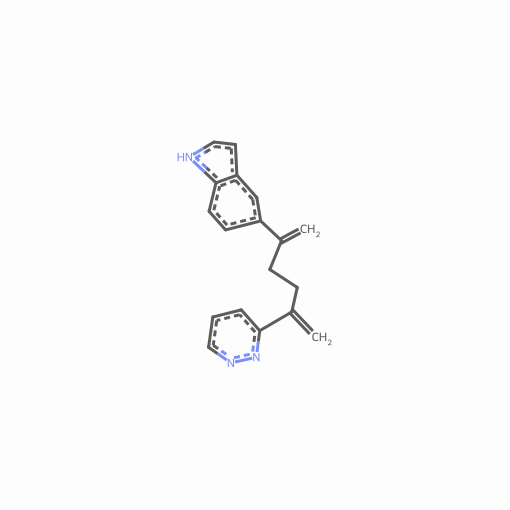 C=C(CCC(=C)c1cccnn1)c1ccc2[nH]ccc2c1